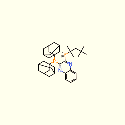 C[P@](c1nc2ccccc2nc1P(C12CC3CC(CC(C3)C1)C2)C12CC3CC(CC(C3)C1)C2)C(C)(C)CC(C)(C)C